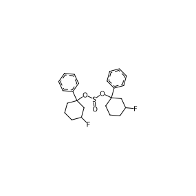 O=S(OC1(c2ccccc2)CCCC(F)C1)OC1(c2ccccc2)CCCC(F)C1